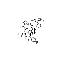 C[C@@H](O)c1cccc(NC(=O)c2nn(Cc3ccc(F)cc3)c3c2CN(C(=O)c2ccc[nH]2)CC3(C)C)c1